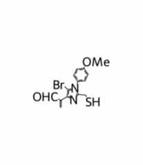 C=C(C=O)c1nc(CS)n(-c2ccc(OC)cc2)c1Br